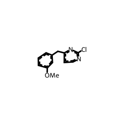 COc1cccc(Cc2ccnc(Cl)n2)c1